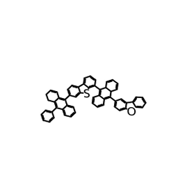 C1=CC2C(c3ccc4oc5ccccc5c4c3)=c3ccccc3=C(c3cccc4c3sc3cc(-c5c6c(c(-c7ccccc7)c7ccccc57)CCC=C6)ccc34)C2C=C1